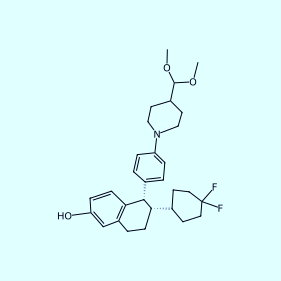 COC(OC)C1CCN(c2ccc([C@H]3c4ccc(O)cc4CC[C@H]3C3CCC(F)(F)CC3)cc2)CC1